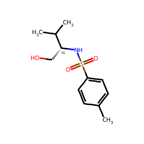 Cc1ccc(S(=O)(=O)N[C@H](CO)C(C)C)cc1